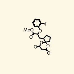 COC(=O)C(CC1CCCC12OC(=O)CC(=O)O2)Oc1ccccc1I